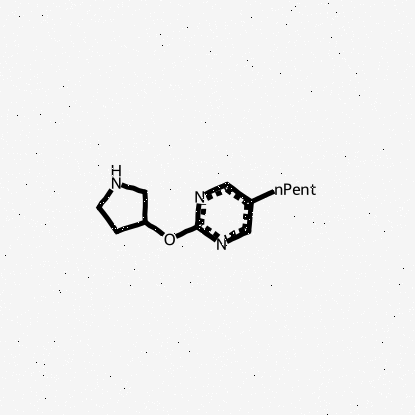 CCCCCc1cnc(OC2CCNC2)nc1